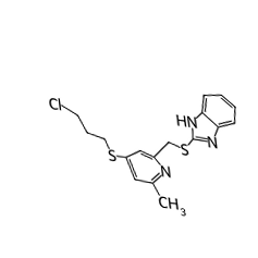 Cc1cc(SCCCCl)cc(CSc2nc3ccccc3[nH]2)n1